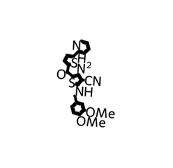 COc1ccc(CNc2sc(C(=O)c3ccc(-c4ccccn4)s3)c(N)c2C#N)cc1OC